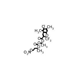 Cc1cc2c(c(C)c1Cl)C=C(C(=O)OC(C)OC(=O)OC(C)CCO[N+](=O)[O-])C(C(F)(F)F)O2